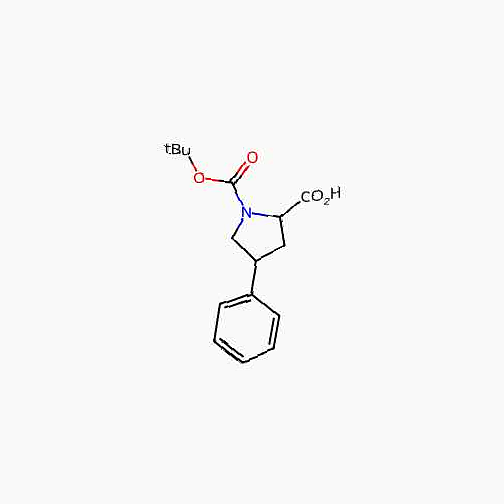 CC(C)(C)OC(=O)N1CC(c2ccccc2)CC1C(=O)O